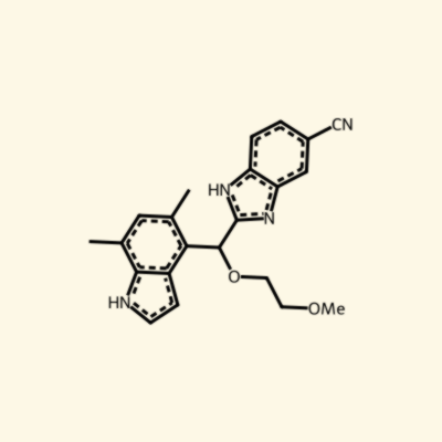 COCCOC(c1nc2cc(C#N)ccc2[nH]1)c1c(C)cc(C)c2[nH]ccc12